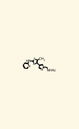 CC(=O)NCn1cc(-c2nc(Nc3ccccn3)sc2C)cn1